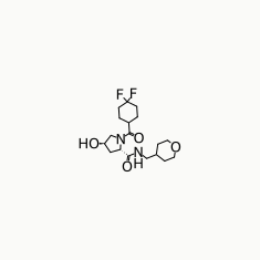 O=C(NCC1CCOCC1)[C@@H]1C[C@@H](O)CN1C(=O)C1CCC(F)(F)CC1